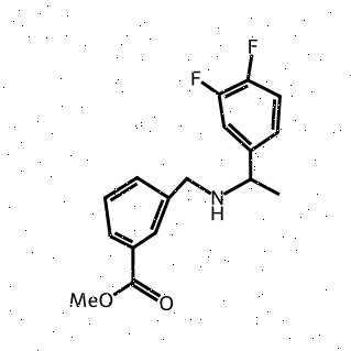 COC(=O)c1cccc(CNC(C)c2ccc(F)c(F)c2)c1